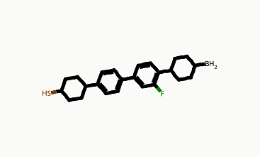 BC1CCC(c2ccc(-c3ccc(C4CCC(S)CC4)cc3)cc2F)CC1